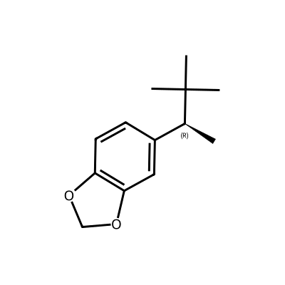 C[C@@H](c1ccc2c(c1)OCO2)C(C)(C)C